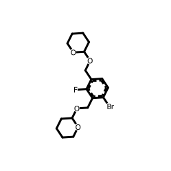 Fc1c(COC2CCCCO2)ccc(Br)c1COC1CCCCO1